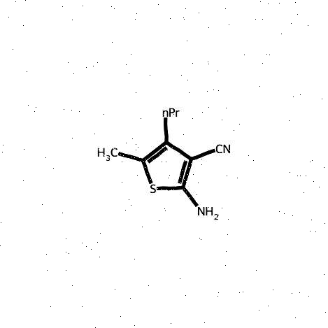 CCCc1c(C)sc(N)c1C#N